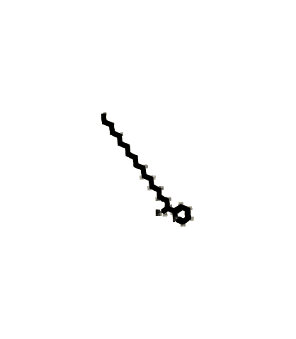 CCCCCCCCCCCCCCCCCC(Br)c1ccccn1